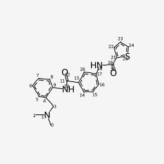 CN(C)Cc1ccccc1NC(=O)c1cccc(NC(=O)c2cccs2)c1